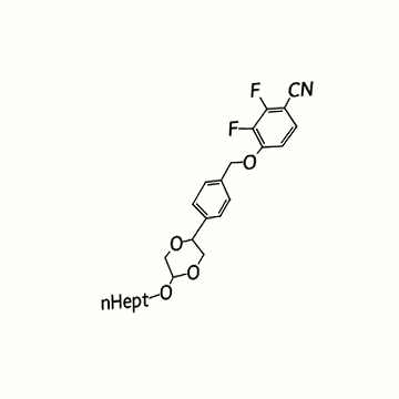 CCCCCCCOC1COC(c2ccc(COc3ccc(C#N)c(F)c3F)cc2)CO1